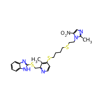 Cc1c(SCCCCSCCn2c([N+](=O)[O-])cnc2C)ccnc1CSc1nc2ccccc2[nH]1